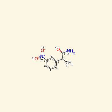 CC(C(N)=O)c1cccc([N+](=O)[O-])c1